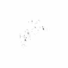 COc1ccc(S(=O)(=O)N[C@H]2CCOC2)cc1C(=O)Cl